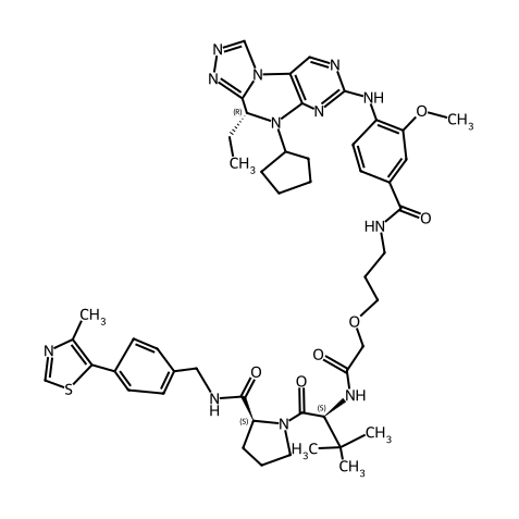 CC[C@@H]1c2nncn2-c2cnc(Nc3ccc(C(=O)NCCCOCC(=O)N[C@H](C(=O)N4CCC[C@H]4C(=O)NCc4ccc(-c5scnc5C)cc4)C(C)(C)C)cc3OC)nc2N1C1CCCC1